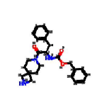 O=C(N[C@H](Cc1ccccc1)C(=O)N1CCC2(CC1)CNC2)OCc1ccccc1